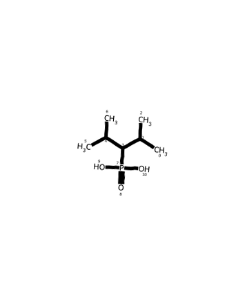 CC(C)C(C(C)C)P(=O)(O)O